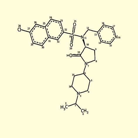 CC(C)N1CCC(N2CC[C@H](N(Cc3ccncc3)S(=O)(=O)c3ccc4cc(Cl)ccc4c3)C2=O)CC1